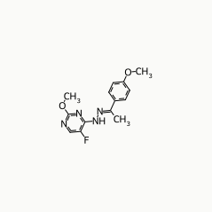 COc1ccc(/C(C)=N/Nc2nc(OC)ncc2F)cc1